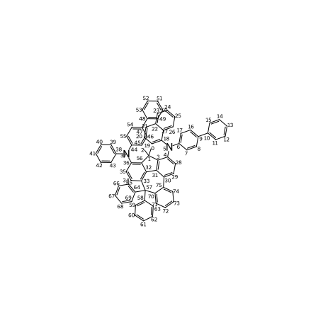 CC1(C)c2c(N(c3ccc(-c4ccccc4)cc3)c3cccc4ccccc34)ccc3c2-c2c(ccc(N(c4ccccc4)c4ccc(-c5ccccc5)cc4)c21)C(c1ccccc1)(c1ccccc1)c1ccccc1-3